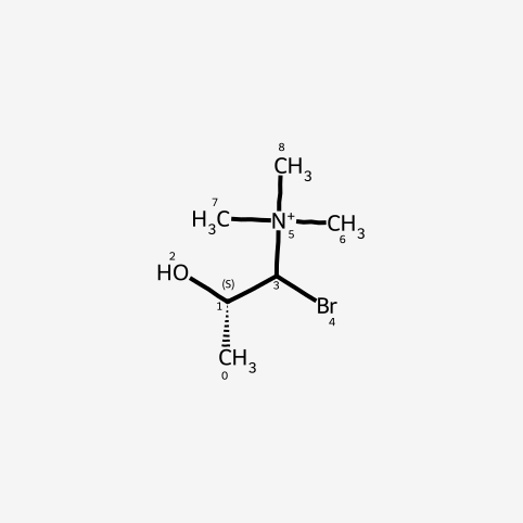 C[C@H](O)C(Br)[N+](C)(C)C